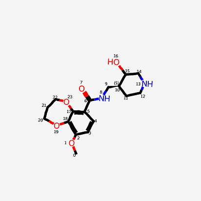 COc1ccc(C(=O)NC[C@@H]2CCNCC2O)c2c1OCCCO2